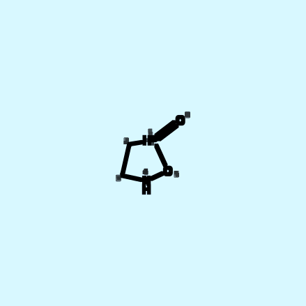 O=[PH]1CCNO1